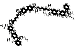 CC1=CC2=Nc3cc(C)c(NCCCCCCNC(=O)c4ccc(-c5ccc(C(=O)NCCCCCCNc6cc7oc8c/c(=[N+](/C)c9ccccc9)c(C)cc-8nc7cc6C)cc5)cc4)cc3OC2=CC1N(C)c1ccccc1